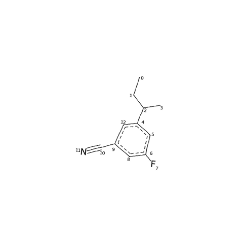 CCC(C)c1cc(F)cc(C#N)c1